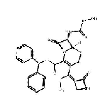 CC(C)(C)OC(=O)N[C@@H]1C(=O)N2C(C(=O)OC(c3ccccc3)c3ccccc3)=C(C(CC(F)(F)F)=C3CNC3=O)CS[C@H]12